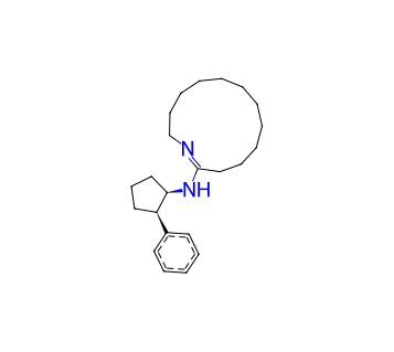 c1ccc([C@H]2CCC[C@H]2N/C2=N\CCCCCCCCCCC2)cc1